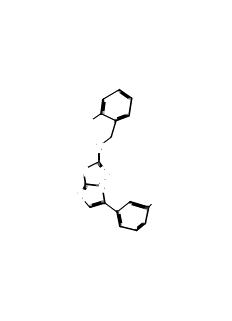 Cc1ccccc1CNc1nn2c(-c3cccc(Cl)c3)cnc2s1